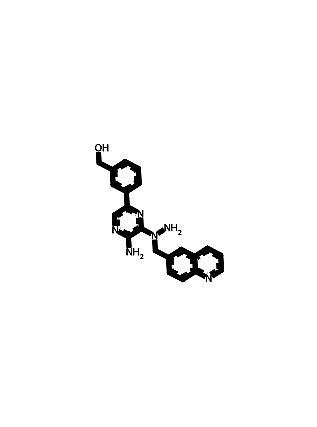 Nc1ncc(-c2cccc(CO)c2)nc1N(N)Cc1ccc2ncccc2c1